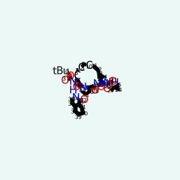 CC(C)(C)OC(=O)NC1CCCCCC=CC2CC2(C(=O)NS(=O)(=O)C2(C)CC2)NC(=O)C2CC(Oc3nccc4ccccc34)CN2C1=O